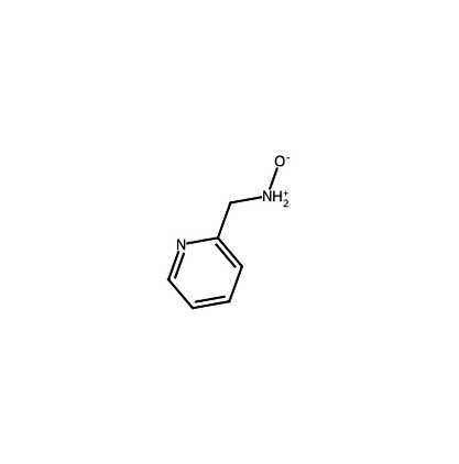 [O-][NH2+]Cc1ccccn1